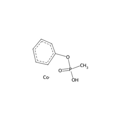 CP(=O)(O)Oc1ccccc1.[Co]